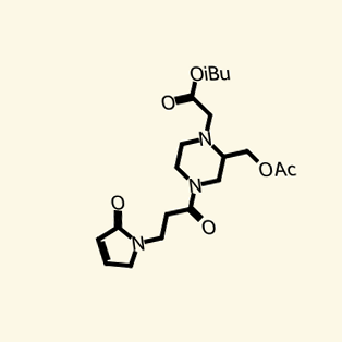 CC(=O)OCC1CN(C(=O)CCN2CC=CC2=O)CCN1CC(=O)OCC(C)C